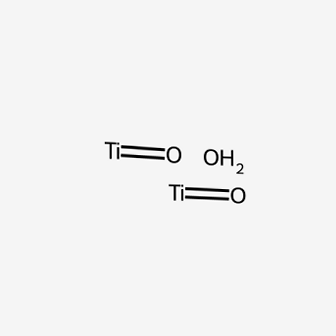 O.[O]=[Ti].[O]=[Ti]